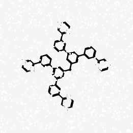 O=C(c1cc(-c2cccc(-c3cnccn3)c2)cc(-c2cccc(-c3cnccn3)c2)c1)c1cc(-c2cccc(-c3cnccn3)c2)cc(-c2cccc(-c3cnccn3)c2)c1